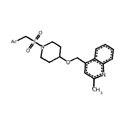 CC(=O)CS(=O)(=O)N1CCC(OCc2cc(C)nc3ccccc23)CC1